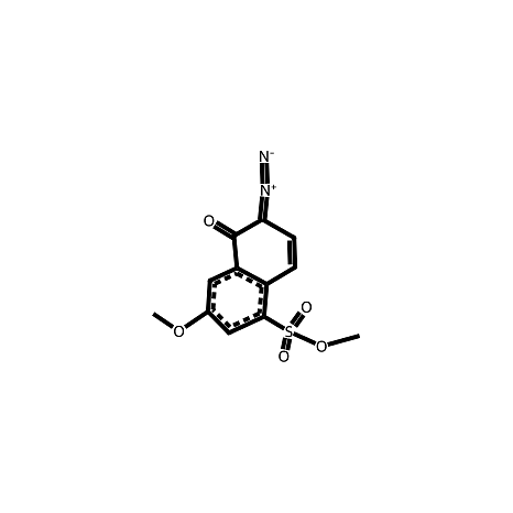 COc1cc2c(c(S(=O)(=O)OC)c1)C=CC(=[N+]=[N-])C2=O